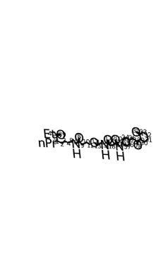 CCCC(CCCCNC(=O)CCCOCCNC(=O)CC(=O)Nc1ccc(CC(=O)C2CCCCC2=O)cc1)C(=O)CC